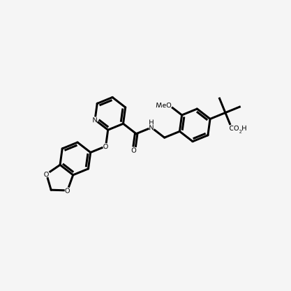 COc1cc(C(C)(C)C(=O)O)ccc1CNC(=O)c1cccnc1Oc1ccc2c(c1)OCO2